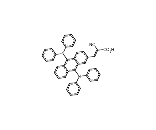 N#C/C(=C\c1ccc2c(N(c3ccccc3)c3ccccc3)c3ccccc3c(N(c3ccccc3)c3ccccc3)c2c1)C(=O)O